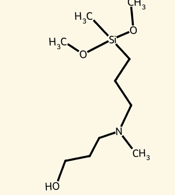 CO[Si](C)(CCCN(C)CCCO)OC